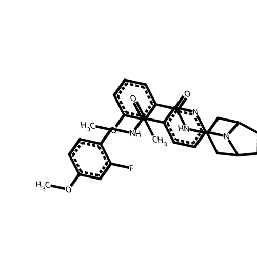 COc1ccc(CNC(=O)c2ccc(N3C4CCC3CC(NC(=O)c3cccc(OC)c3C)C4)nc2)c(F)c1